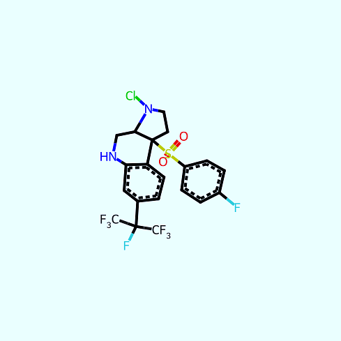 O=S(=O)(c1ccc(F)cc1)C12CCN(Cl)C1CNc1cc(C(F)(C(F)(F)F)C(F)(F)F)ccc12